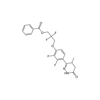 CC1CC(=O)NN=C1c1ccc(OCC(F)(F)COC(=O)c2ccccc2)c(F)c1F